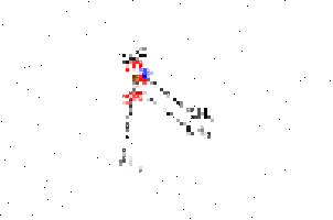 CCCCCCCCCCCCCCCC(=O)N[C@@H](CSC[C@@H](COC(=O)CCCCCCCCCCCCCCC)OC(=O)CCCCCCCCCCCCCCC)C(=O)OC(c1ccccc1)c1ccccc1